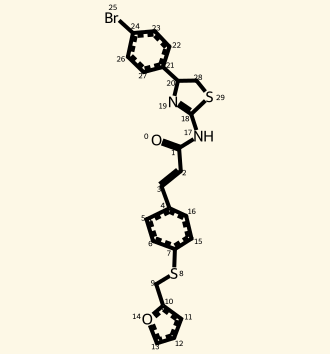 O=C(/C=C/c1ccc(SCc2ccco2)cc1)NC1=NC(c2ccc(Br)cc2)CS1